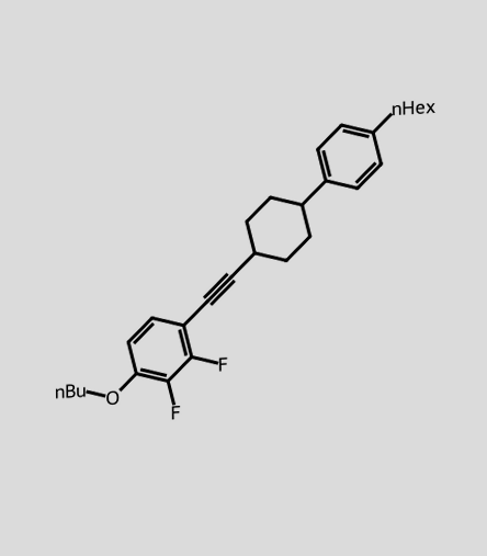 CCCCCCc1ccc(C2CCC(C#Cc3ccc(OCCCC)c(F)c3F)CC2)cc1